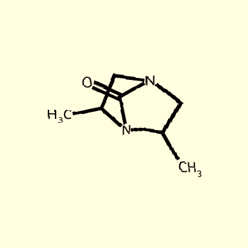 CC1CN2CC(C)N1C2=O